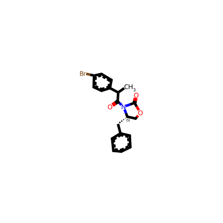 CC(C(=O)N1C(=O)OC[C@@H]1Cc1ccccc1)c1ccc(Br)cc1